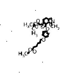 CCOC(=O)CCCCCOc1ccc(Oc2sc(C(=O)OC(C)(C)C)c3c2-c2c(cnn2C)CC3)cc1